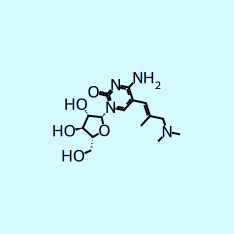 C/C(=C\c1cn([C@@H]2O[C@H](CO)[C@@H](O)[C@@H]2O)c(=O)nc1N)CN(C)C